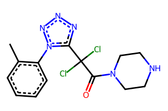 Cc1ccccc1-n1nnnc1C(Cl)(Cl)C(=O)N1CCNCC1